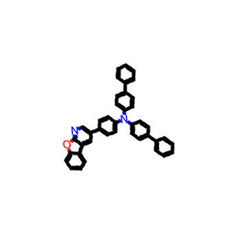 c1ccc(-c2ccc(N(c3ccc(-c4ccccc4)cc3)c3ccc(-c4cnc5oc6ccccc6c5c4)cc3)cc2)cc1